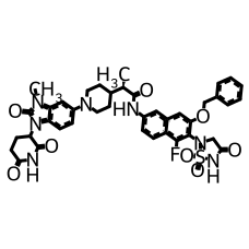 C[C@@H](C(=O)Nc1ccc2c(F)c(N3CC(=O)NS3(=O)=O)c(OCc3ccccc3)cc2c1)C1CCN(c2ccc3c(c2)n(C)c(=O)n3C2CCC(=O)NC2=O)CC1